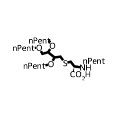 CCCCCN[C@@H](CSCC(OCCCCC)C(COCCCCC)OCCCCC)C(=O)O